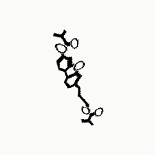 C=C(C)C(=O)OCCCc1ccc2c(c1)oc1cc(OC(=O)C(=C)C)ccc12